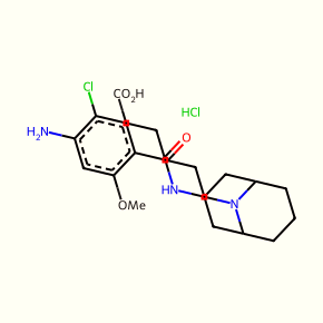 COc1cc(N)c(Cl)cc1C(=O)NC1CC2CCCC(C1)N2CCCCCC(=O)O.Cl